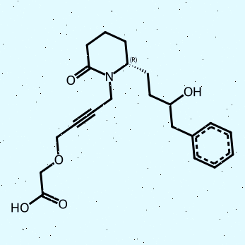 O=C(O)COCC#CCN1C(=O)CCC[C@@H]1CCC(O)Cc1ccccc1